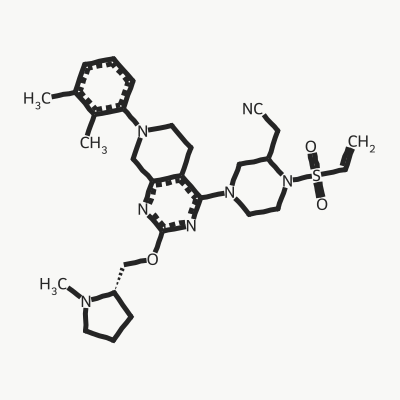 C=CS(=O)(=O)N1CCN(c2nc(OC[C@@H]3CCCN3C)nc3c2CCN(c2cccc(C)c2C)C3)CC1CC#N